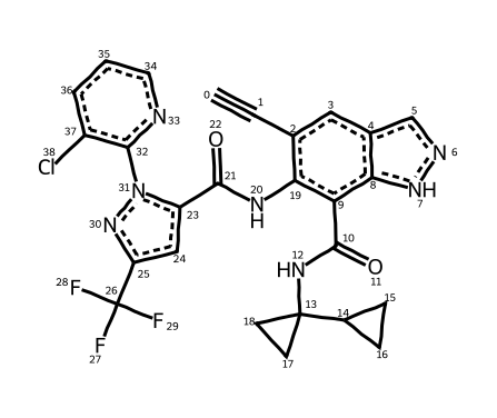 C#Cc1cc2cn[nH]c2c(C(=O)NC2(C3CC3)CC2)c1NC(=O)c1cc(C(F)(F)F)nn1-c1ncccc1Cl